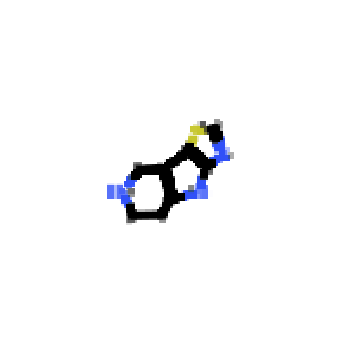 [c]1nc2[nH]c3c(c2s1)CNCC3